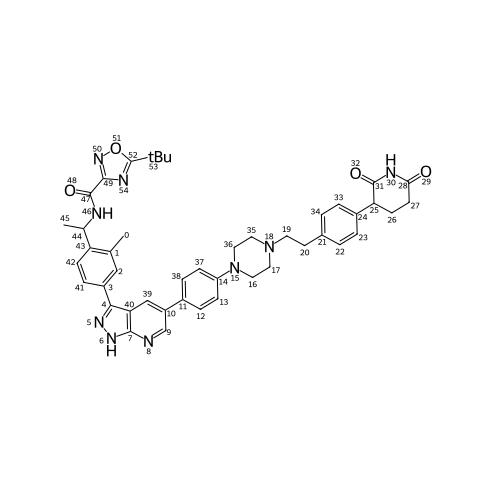 Cc1cc(-c2n[nH]c3ncc(-c4ccc(N5CCN(CCc6ccc(C7CCC(=O)NC7=O)cc6)CC5)cc4)cc23)ccc1C(C)NC(=O)c1noc(C(C)(C)C)n1